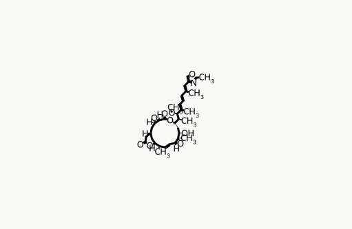 CO[C@@H](/C(C)=C/C=C/C(C)=C/c1coc(C)n1)[C@@H](C)[C@@H]1C[C@H](O)[C@@]2(C)O[C@@H]2/C=C/[C@@H](C)[C@H]2C[C@H](CC(=O)O2)C[C@H]2O[C@H]2C(=O)O1